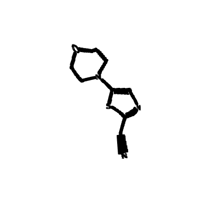 N#Cc1ncc(N2CCOCC2)s1